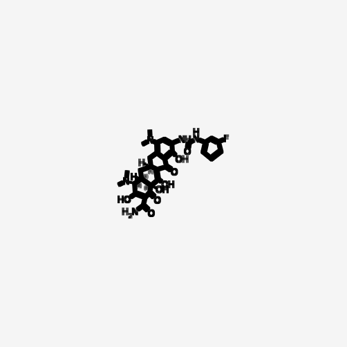 CN(C)c1cc(NC(=O)Nc2cccc(F)c2)c(O)c2c1C[C@@H]1C[C@@H]3[C@@H](N(C)C)C(O)=C(C(N)=O)C(=O)[C@]3(O)C(O)=C1C2=O